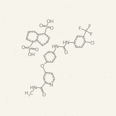 CNC(=O)c1cc(Oc2ccc(NC(=O)Nc3ccc(Cl)c(C(F)(F)F)c3)cc2)ccn1.O=S(=O)(O)c1cccc2c(S(=O)(=O)O)cccc12